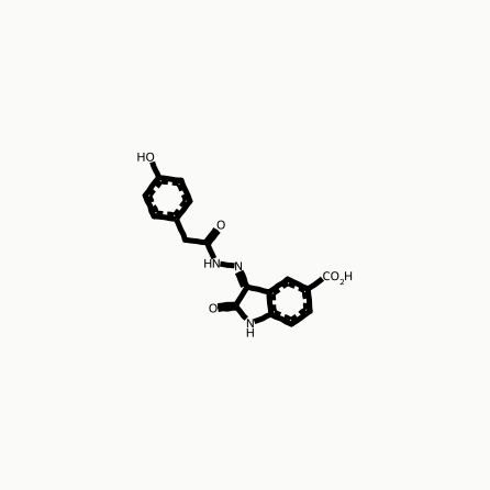 O=C(Cc1ccc(O)cc1)N/N=C1\C(=O)Nc2ccc(C(=O)O)cc21